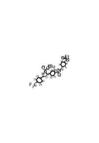 CCS(=O)(=O)c1ccc(CNC(=O)c2ccc(C3CC(c4ccc(C(F)(F)F)cc4)CN3C(=O)OC(C)(C)C)cc2)cc1